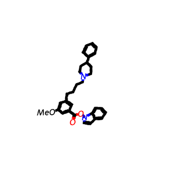 COc1cc(CCCCN2CCC(c3ccccc3)CC2)cc(C(=O)On2ccc3ccccc32)c1